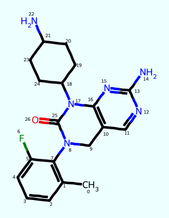 Cc1cccc(F)c1N1Cc2cnc(N)nc2N(C2CCC(N)CC2)C1=O